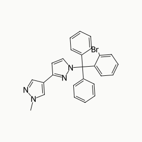 Cn1cc(-c2ccn(C(c3ccccc3)(c3ccccc3)c3ccccc3Br)n2)cn1